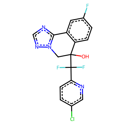 OC1(C(F)(F)c2ccc(Cl)cn2)Cn2ncnc2-c2cc(F)ccc21